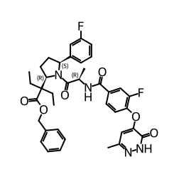 CCC(CC)(C(=O)OCc1ccccc1)[C@H]1CC[C@@H](c2cccc(F)c2)N1C(=O)[C@@H](C)NC(=O)c1ccc(Oc2cc(C)n[nH]c2=O)c(F)c1